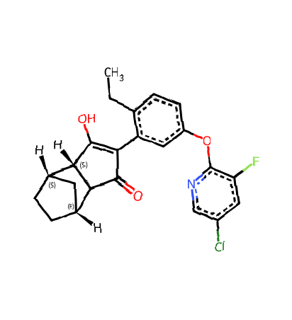 CCc1ccc(Oc2ncc(Cl)cc2F)cc1C1=C(O)[C@@H]2C(C1=O)[C@@H]1CC[C@H]2C1